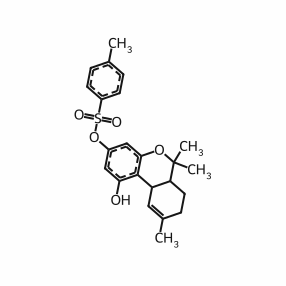 CC1=CC2c3c(O)cc(OS(=O)(=O)c4ccc(C)cc4)cc3OC(C)(C)C2CC1